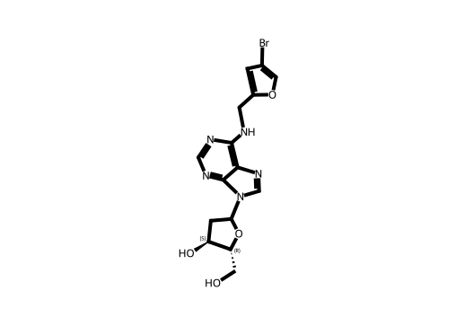 OC[C@H]1OC(n2cnc3c(NCc4cc(Br)co4)ncnc32)C[C@@H]1O